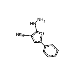 N#Cc1cc(-c2ccccc2)oc1NN